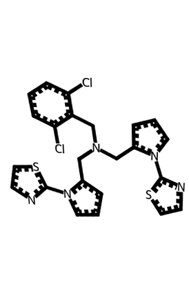 Clc1cccc(Cl)c1CN(Cc1cccn1-c1nccs1)Cc1cccn1-c1nccs1